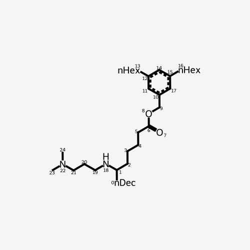 CCCCCCCCCCC(CCCCC(=O)OCc1cc(CCCCCC)cc(CCCCCC)c1)NCCCN(C)C